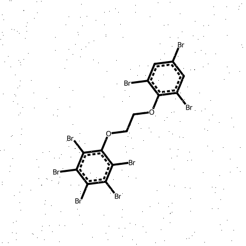 Brc1cc(Br)c(OCCOc2c(Br)c(Br)c(Br)c(Br)c2Br)c(Br)c1